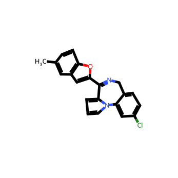 Cc1ccc2oc(C3=NCc4ccc(Cl)cc4-n4cccc43)cc2c1